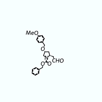 COc1ccc(CO[C@@H]2C[C@@H](CC=O)N(C(=O)OCc3ccccc3)C2)cc1